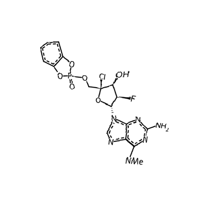 CNc1nc(N)nc2c1ncn2[C@@H]1O[C@](Cl)(COP2(=O)Oc3ccccc3O2)[C@@H](O)[C@H]1F